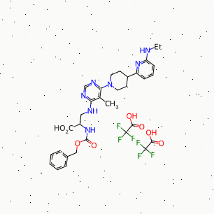 CCNc1cccc(C2CCN(c3ncnc(NCC(NC(=O)OCc4ccccc4)C(=O)O)c3C)CC2)n1.O=C(O)C(F)(F)F.O=C(O)C(F)(F)F